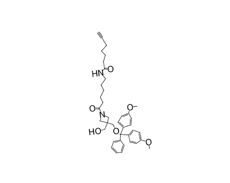 C#CCCCCC(=O)NCCCCCC(=O)N1CC(CO)(COC(c2ccccc2)(c2ccc(OC)cc2)c2ccc(OC)cc2)C1